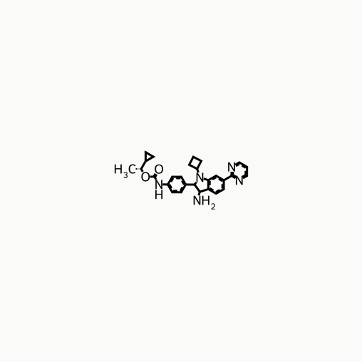 C[C@@H](OC(=O)Nc1ccc(C2C(N)c3ccc(-c4ncccn4)cc3N2C2CCC2)cc1)C1CC1